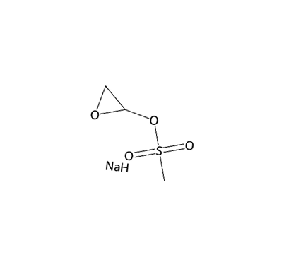 CS(=O)(=O)OC1CO1.[NaH]